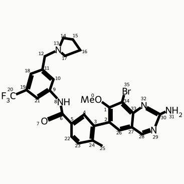 COc1c(-c2cc(C(=O)Nc3cc(CN4CCCC4)cc(C(F)(F)F)c3)ccc2C)cc2cnc(N)nc2c1Br